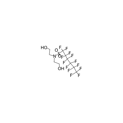 O=S(=O)(N(CCO)CCO)C(F)(F)C(F)(F)C(F)(F)C(F)(F)C(F)(F)C(F)(F)F